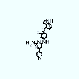 Nc1nc(Nc2ccc(Oc3ccnc4c3CCN4)c(F)c2)cc(-c2ccncc2)n1